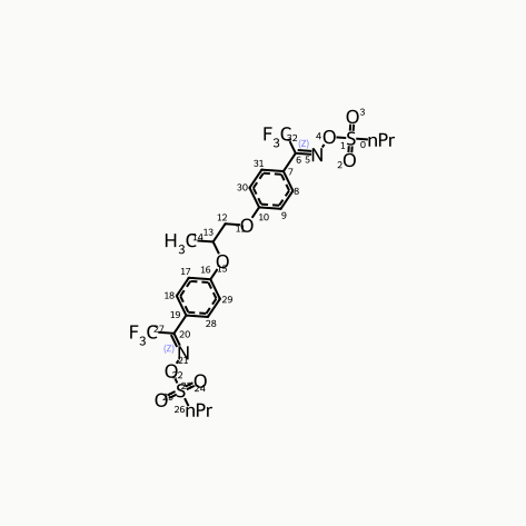 CCCS(=O)(=O)O/N=C(/c1ccc(OCC(C)Oc2ccc(/C(=N/OS(=O)(=O)CCC)C(F)(F)F)cc2)cc1)C(F)(F)F